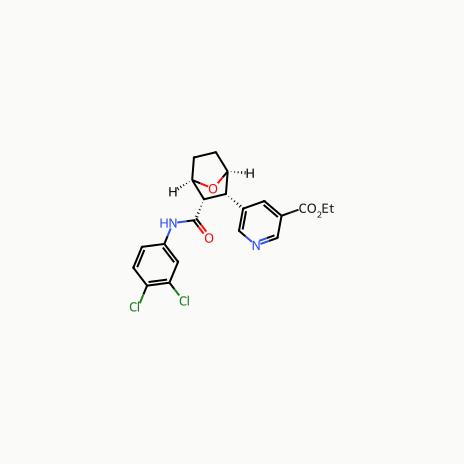 CCOC(=O)c1cncc([C@@H]2[C@H](C(=O)Nc3ccc(Cl)c(Cl)c3)[C@H]3CC[C@@H]2O3)c1